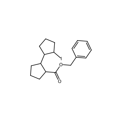 O=C(OCc1ccccc1)C1CCCC1C1CCCC1I